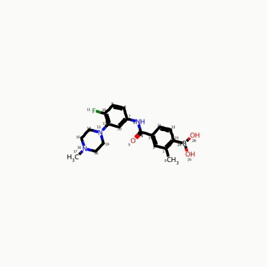 Cc1cc(C(=O)Nc2ccc(F)c(N3CCN(C)CC3)c2)ccc1B(O)O